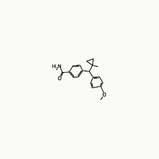 COc1ccc(C(c2ccc(C(N)=O)cc2)C2(C)CC2)cc1